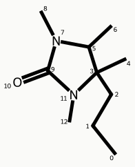 CCCC1(C)C(C)N(C)C(=O)N1C